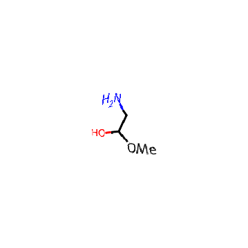 COC(O)CN